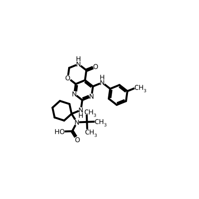 Cc1cccc(Nc2nc(NC3(N(C(=O)O)C(C)(C)C)CCCCC3)nc3c2C(=O)NCO3)c1